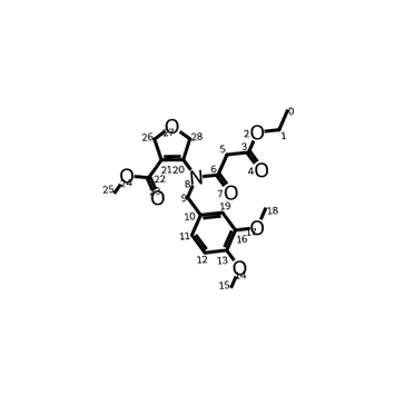 CCOC(=O)CC(=O)N(Cc1ccc(OC)c(OC)c1)C1=C(C(=O)OC)COC1